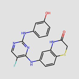 O=C1CSc2ccc(Nc3nc(Nc4cccc(O)c4)ncc3F)cc2N1